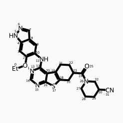 CCOc1cc2[nH]ncc2cc1Nc1ncnc2sc3c(c12)CCC(C(=O)N1CCCC(C#N)C1)C3